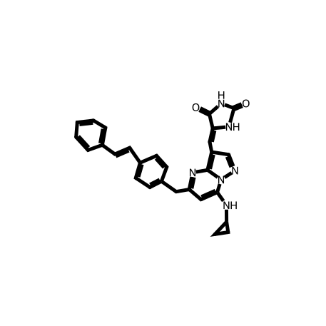 O=C1NC(=O)/C(=C/c2cnn3c(NC4CC4)cc(Cc4ccc(/C=C/c5ccccc5)cc4)nc23)N1